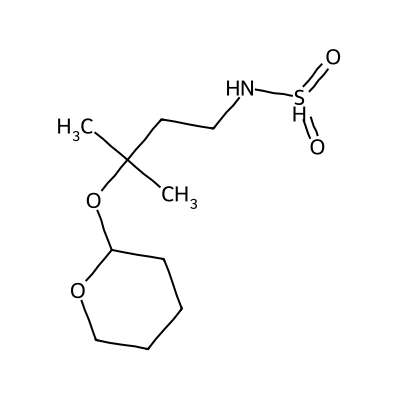 CC(C)(CCN[SH](=O)=O)OC1CCCCO1